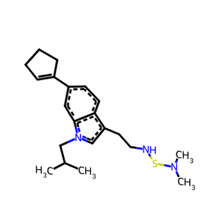 CC(C)Cn1cc(CCNSN(C)C)c2ccc(C3=CCCC3)cc21